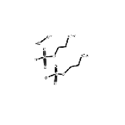 CCCCCCCCCCCCOS(=O)(=O)[O-].CCCCCCCCCCCCOS(=O)(=O)[O-].[OH][Al+2]